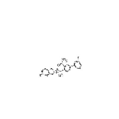 Cl.NC(=O)c1cc(-c2cccc(F)c2)ccc1CN[C@@H]1Cc2ccc(F)cc2C1